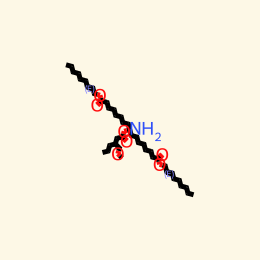 CCCCCC/C=C/COC(=O)CCCCCCCC(N)(CCCCCCCC(=O)OC/C=C/CCCCCC)OC(=O)CC(CCC)COC